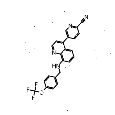 N#Cc1ccc(-c2ccnc3c(NCc4ccc(OC(F)(F)F)cc4)cccc23)cn1